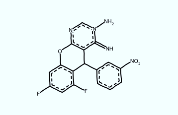 N=c1c2c(ncn1N)Oc1cc(F)cc(F)c1C2c1cccc([N+](=O)[O-])c1